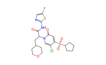 O=C(Nc1ncc(F)s1)C(CC1CCOCC1)n1cc(Cl)c(S(=O)(=O)C2CCCC2)cc1=O